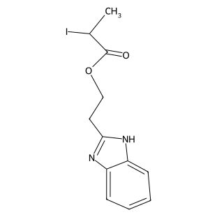 CC(I)C(=O)OCCc1nc2ccccc2[nH]1